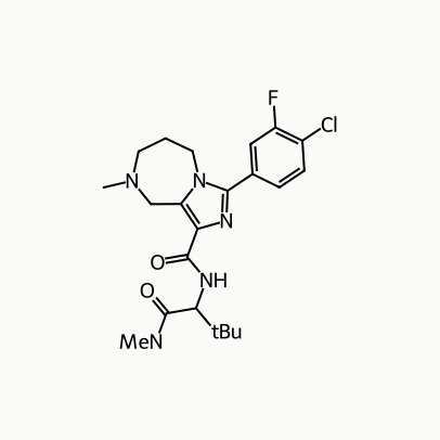 CNC(=O)C(NC(=O)c1nc(-c2ccc(Cl)c(F)c2)n2c1CN(C)CCC2)C(C)(C)C